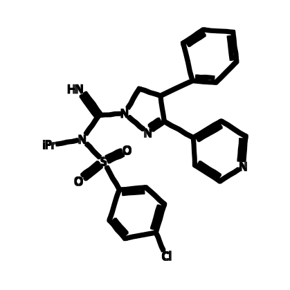 CC(C)N(C(=N)N1CC(c2ccccc2)C(c2ccncc2)=N1)S(=O)(=O)c1ccc(Cl)cc1